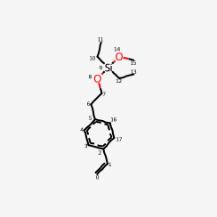 C=Cc1ccc(CCO[Si](CC)(CC)OC)cc1